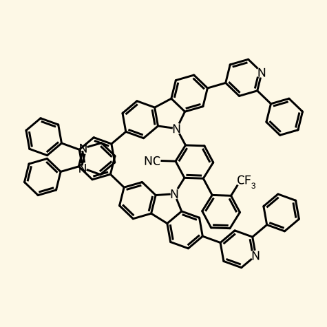 N#Cc1c(-n2c3cc(-c4ccnc(-c5ccccc5)c4)ccc3c3ccc(-c4ccnc(-c5ccccc5)c4)cc32)ccc(-c2ccccc2C(F)(F)F)c1-n1c2cc(-c3ccnc(-c4ccccc4)c3)ccc2c2ccc(-c3ccnc(-c4ccccc4)c3)cc21